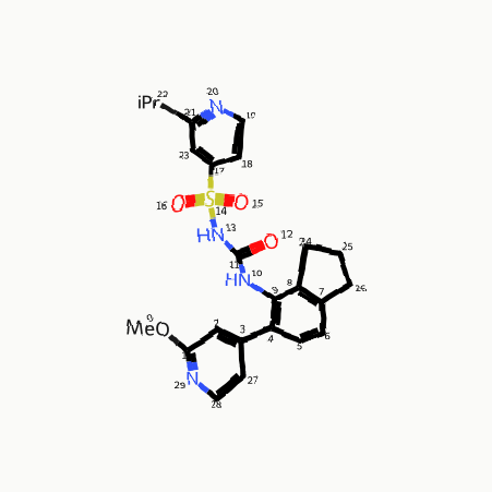 COc1cc(-c2ccc3c(c2NC(=O)NS(=O)(=O)c2ccnc(C(C)C)c2)CCC3)ccn1